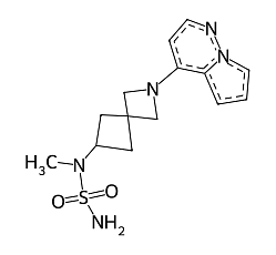 CN(C1CC2(C1)CN(c1ccnn3cccc13)C2)S(N)(=O)=O